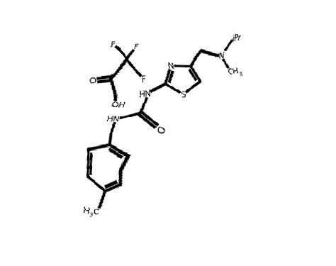 Cc1ccc(NC(=O)Nc2nc(CN(C)C(C)C)cs2)cc1.O=C(O)C(F)(F)F